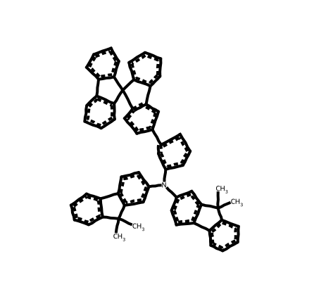 CC1(C)c2ccccc2-c2ccc(N(c3cccc(-c4ccc5c(c4)-c4ccccc4C54c5ccccc5-c5ccccc54)c3)c3ccc4c(c3)C(C)(C)c3ccccc3-4)cc21